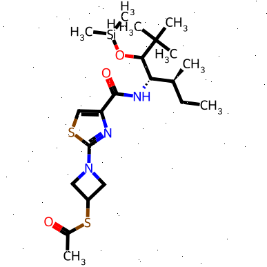 CC[C@H](C)[C@H](NC(=O)c1csc(N2CC(SC(C)=O)C2)n1)C(O[SiH](C)C)C(C)(C)C